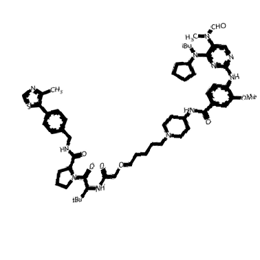 CCC(C)N(c1nc(Nc2ccc(C(=O)NC3CCN(CCCCCOCC(=O)NC(C(=O)N4CCCC4C(=O)NCc4ccc(-c5scnc5C)cc4)C(C)(C)C)CC3)cc2OC)ncc1N(C)C=O)C1CCCC1